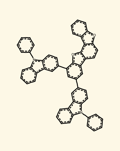 c1ccc(-n2c3ccccc3c3cc(-c4cc(-c5ccc6c(c5)c5ccccc5n6-c5ccccc5)c5oc6c(ccc7oc8ccccc8c76)c5c4)ccc32)cc1